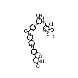 CN1C[C@H](Nc2cnn(C)c(=O)c2Cl)C[C@H](c2ccc(C(=O)N3CCC4(CC3)CCN(c3ccc(C5CCC(=O)NC5=O)c(F)c3)CC4)cc2)C1